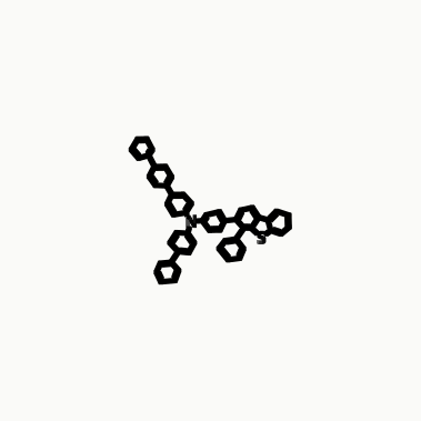 c1ccc(-c2ccc(-c3ccc(N(c4ccc(-c5ccccc5)cc4)c4ccc(-c5ccc6c(sc7ccccc76)c5-c5ccccc5)cc4)cc3)cc2)cc1